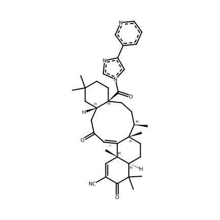 C[C@@H]1CC[C@@]2(C(=O)n3cnc(-c4cccnc4)c3)CCC(C)(C)C[C@H]2CC(=O)/C=C2/[C@@]3(C)C=C(C#N)C(=O)C(C)(C)[C@@H]3CC[C@]21C